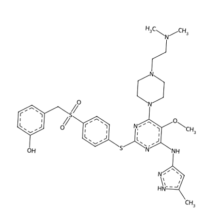 COc1c(Nc2cc(C)[nH]n2)nc(Sc2ccc(S(=O)(=O)Cc3cccc(O)c3)cc2)nc1N1CCN(CCN(C)C)CC1